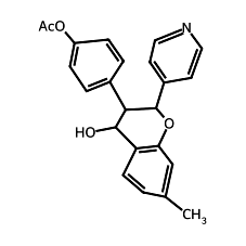 CC(=O)Oc1ccc(C2C(O)c3ccc(C)cc3OC2c2ccncc2)cc1